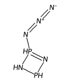 [N-]=[N+]=N[PH]1=NPN1